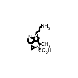 CC(c1cn(CCCN)c2ncccc12)N(C(=O)O)C1CC1